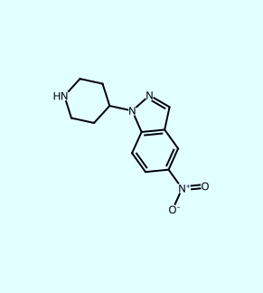 O=[N+]([O-])c1ccc2c(cnn2C2CCNCC2)c1